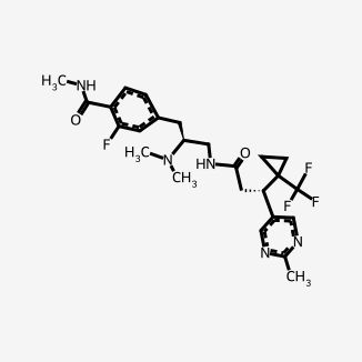 CNC(=O)c1ccc(C[C@@H](CNC(=O)C[C@@H](c2cnc(C)nc2)C2(C(F)(F)F)CC2)N(C)C)cc1F